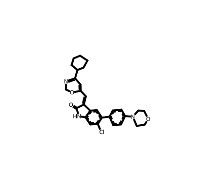 O=C1Nc2cc(Cl)c(-c3ccc(N4CCOCC4)cc3)cc2/C1=C/C1=CC(C2CCCCC2)=NCO1